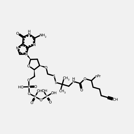 C#CCCCC(CCC)OC(=O)NCC(C)(C)SSCO[C@@H]1C[C@H](n2cnc3c(=O)[nH]c(N)nc32)O[C@@H]1COP(=O)(O)OP(=O)(O)OP(=O)(O)O